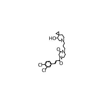 O=C(C=Cc1ccc(Cl)c(Cl)c1)N1CCN(CCCN2CCC3(CC3)[C@H](O)C2)C(=O)C1